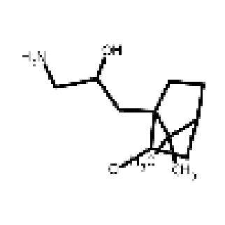 CC1(C)C2CCC1(CC(O)CN)C(Cl)C2